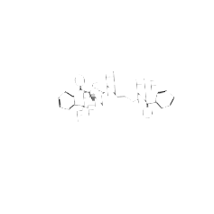 O=C(NCCCNc1ncc(C(=O)c2ccccc2C(F)(F)F)s1)c1ccccc1F